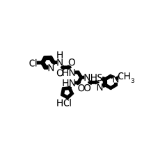 CN1CCc2nc(C(=O)NC(CNC(=O)C(=O)Nc3ccc(Cl)cn3)C(=O)NC3CCCC3)sc2C1.Cl